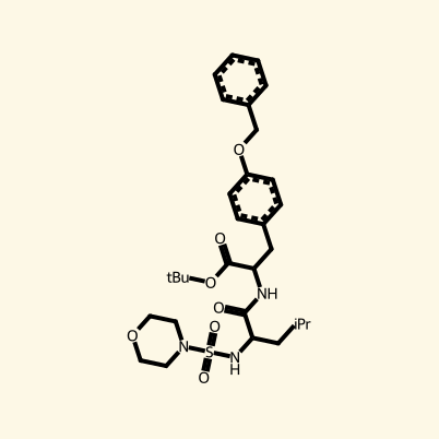 CC(C)CC(NS(=O)(=O)N1CCOCC1)C(=O)NC(Cc1ccc(OCc2ccccc2)cc1)C(=O)OC(C)(C)C